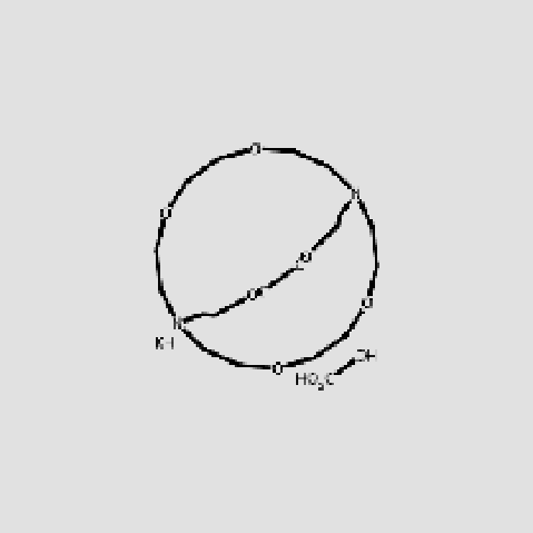 C1COCCN2CCOCCOCCN(CCO1)CCOCCOCC2.O=C(O)O.[KH]